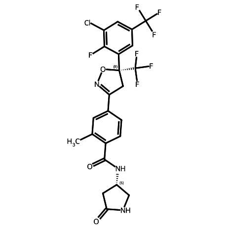 Cc1cc(C2=NO[C@](c3cc(C(F)(F)F)cc(Cl)c3F)(C(F)(F)F)C2)ccc1C(=O)N[C@@H]1CNC(=O)C1